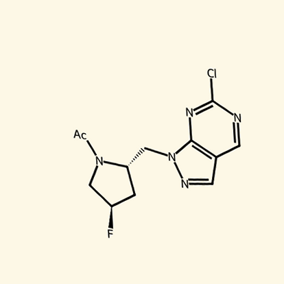 CC(=O)N1C[C@H](F)C[C@H]1Cn1ncc2cnc(Cl)nc21